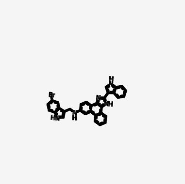 Brc1ccc2[nH]cc(CNc3ccc4c(c3)c3ccccc3c3[nH]c(-c5c[nH]c6ccccc56)nc43)c2c1